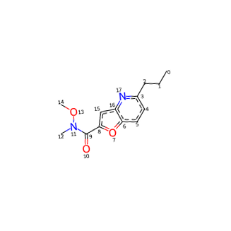 CCCc1ccc2oc(C(=O)N(C)OC)cc2n1